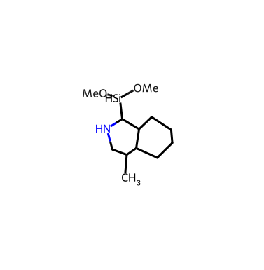 CO[SiH](OC)C1NCC(C)C2CCCCC21